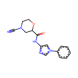 N#CN1CCOC(C(=O)Nc2cn(-c3ccccc3)cn2)C1